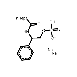 CCCCCCCC(=O)N[C@@H](COP(O)(O)=S)c1ccccc1.[Na].[Na]